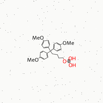 COc1ccc(C(CCCCOB(O)O)(c2ccc(OC)cc2)c2ccc(OC)cc2)cc1